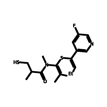 CC/C=C(\SC(=C(C)C)N(C)C(=O)C(C)CS)c1cncc(F)c1